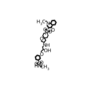 CCn1cc(S(=O)(=O)N2CCC3(CC2)CC(NCC(O)COc2cccc(S(=O)(=O)NC)c2)CO3)c(=O)c2ccccc21